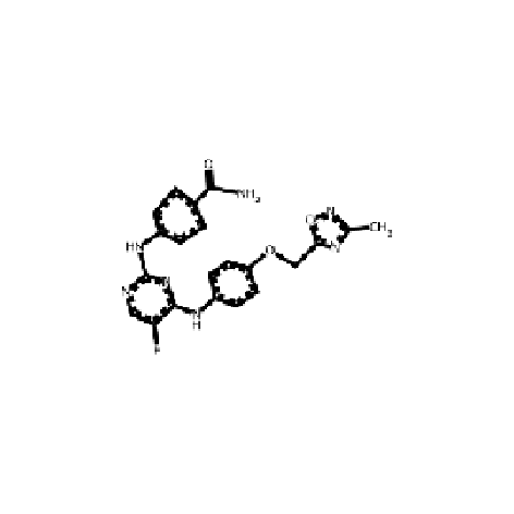 Cc1noc(COc2ccc(Nc3nc(Nc4ccc(C(N)=O)cc4)ncc3F)cc2)n1